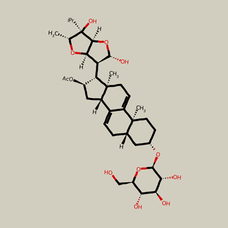 CC(=O)O[C@@H]1C[C@H]2C3=CC[C@H]4C[C@@H](O[C@@H]5O[C@H](CO)[C@@H](O)[C@H](O)[C@H]5O)CC[C@]4(C)C3=CC[C@]2(C)[C@H]1[C@H]1[C@H]2O[C@H](C)[C@](O)(C(C)C)[C@H]2O[C@@H]1O